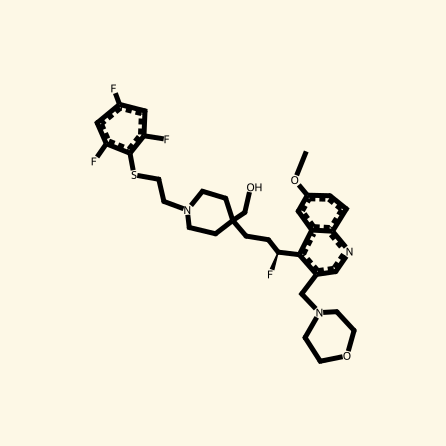 COc1ccc2ncc(CN3CCOCC3)c([C@@H](F)CCC3(CO)CCN(CCSc4c(F)cc(F)cc4F)CC3)c2c1